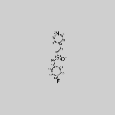 [O-][S+](C=Cc1ccncc1)Cc1ccc(F)cc1